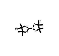 CCC1(C)OB(B2OC(C)(C)C(C)(C(C)C)O2)OC1(C)C